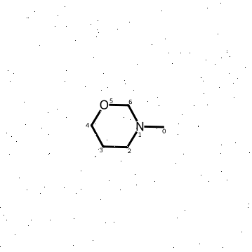 CN1CCCOC1